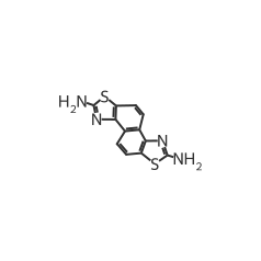 Nc1nc2c(ccc3c2ccc2sc(N)nc23)s1